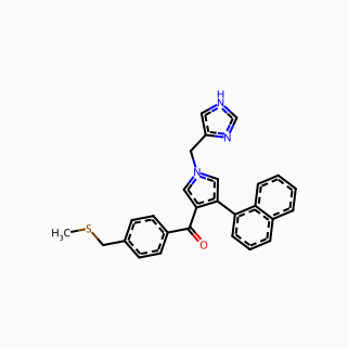 CSCc1ccc(C(=O)c2cn(Cc3c[nH]cn3)cc2-c2cccc3ccccc23)cc1